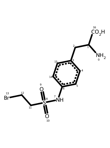 NC(Cc1ccc(NS(=O)(=O)CCBr)cc1)C(=O)O